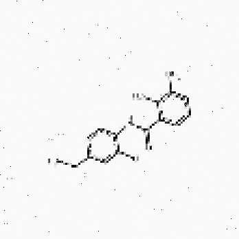 NCc1ccc(NC(=O)c2cccc([N+](=O)[O-])c2O)c(Cl)c1